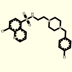 O=S(=O)(NCCN1CCN(Cc2ccc(Cl)cc2)CC1)c1ccc(Cl)c2ncccc12